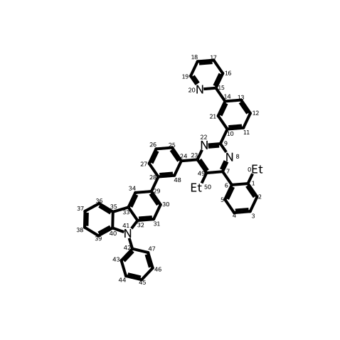 CCc1ccccc1-c1nc(-c2cccc(-c3ccccn3)c2)nc(-c2cccc(-c3ccc4c(c3)c3ccccc3n4-c3ccccc3)c2)c1CC